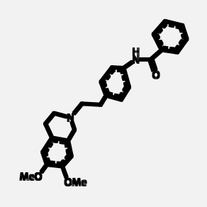 COc1cc2c(cc1OC)CN(CCc1ccc(NC(=O)c3ccccc3)cc1)CC2